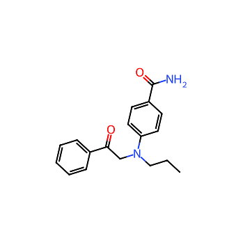 CCCN(CC(=O)c1ccccc1)c1ccc(C(N)=O)cc1